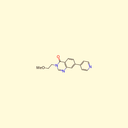 COCCn1cnc2cc(-c3ccncc3)ccc2c1=O